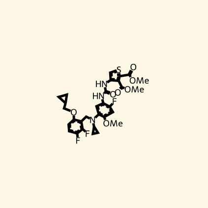 COC(=O)c1scc(NC(=O)Nc2cc(N(Cc3c(OCC4CC4)ccc(F)c3F)C3CC3)c(OC)cc2F)c1C(=O)OC